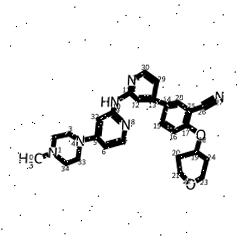 CN1CCN(c2ccnc(Nc3cc(-c4ccc(OC5CCOCC5)c(C#N)c4)ccn3)c2)CC1